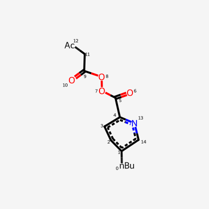 CCCCc1ccc(C(=O)OOC(=O)CC(C)=O)nc1